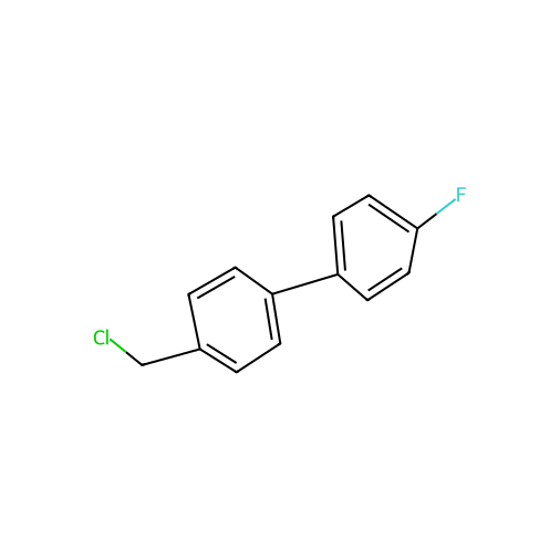 Fc1ccc(-c2ccc(CCl)cc2)cc1